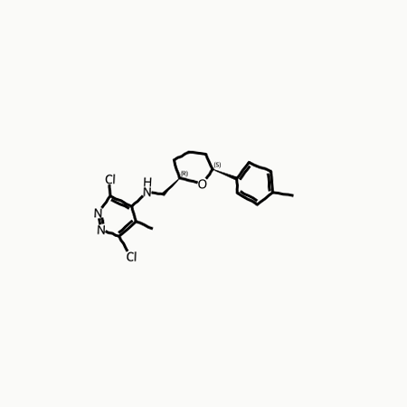 Cc1ccc([C@@H]2CCC[C@H](CNc3c(Cl)nnc(Cl)c3C)O2)cc1